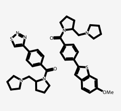 COc1ccc2cc(-c3ccc(C(=O)N4CCCC4CN4CCCC4)cc3)sc2c1.O=C(c1ccc(-c2csnn2)cc1)N1CCCC1CN1CCCC1